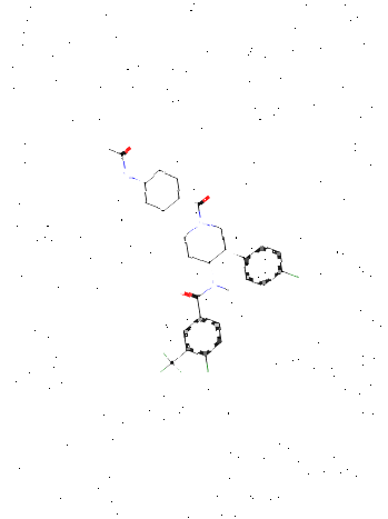 CC(=O)N[C@H]1CC[C@H](C(=O)N2CC[C@@H](N(C)C(=O)c3ccc(F)c(C(F)(F)F)c3)[C@H](c3ccc(F)cc3)C2)CC1